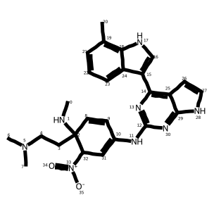 CNC1(CCN(C)C)C=CC(Nc2nc(-c3c[nH]c4c(C)cccc34)c3cc[nH]c3n2)=CC1[N+](=O)[O-]